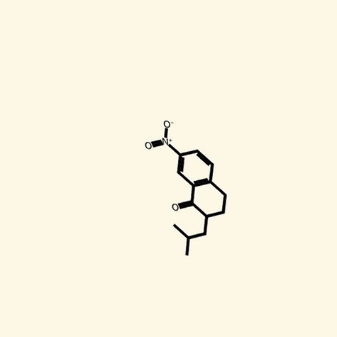 CC(C)CC1CCc2ccc([N+](=O)[O-])cc2C1=O